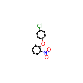 O=[N+]([O-])c1ccc[c]c1Oc1ccc(Cl)cc1